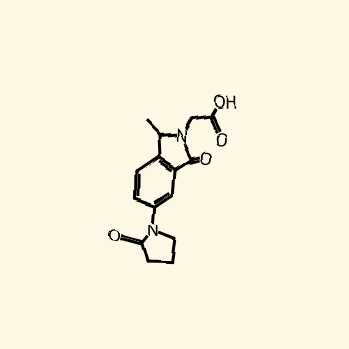 CC1c2ccc(N3CCCC3=O)cc2C(=O)N1CC(=O)O